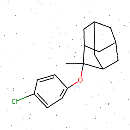 CC1(Oc2ccc(Cl)cc2)C2CC3CC(C2)CC1C3